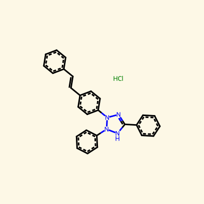 C(=Cc1ccc(N2N=C(c3ccccc3)NN2c2ccccc2)cc1)c1ccccc1.Cl